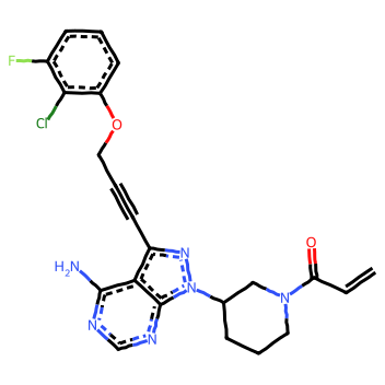 C=CC(=O)N1CCCC(n2nc(C#CCOc3cccc(F)c3Cl)c3c(N)ncnc32)C1